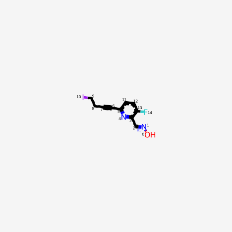 O/N=C/c1nc(C#CCCI)ccc1F